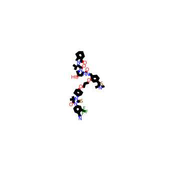 Cc1ncsc1-c1ccc(CNC(=O)[C@@H]2C[C@@H](O)CN2C(=O)[C@H](C(C)C)N2Cc3ccccc3C2=O)c(OCCCOc2ccc(N3C(=S)N(c4ccc(C#N)c(C(F)(F)F)c4)C(=O)C3(C)C)cc2)c1